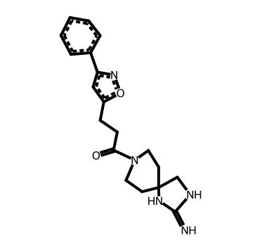 N=C1NCC2(CCN(C(=O)CCc3cc(-c4ccccc4)no3)CC2)N1